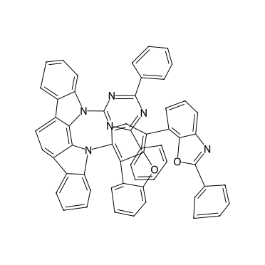 c1ccc(-c2nc(-c3ccccc3)nc(-n3c4ccccc4c4ccc5c6ccccc6n(-c6ccc(-c7cccc8nc(-c9ccccc9)oc78)c7oc8ccccc8c67)c5c43)n2)cc1